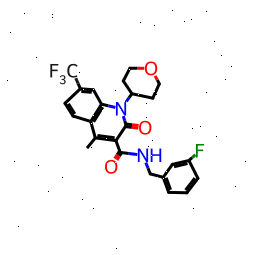 Cc1c(C(=O)NCc2cccc(F)c2)c(=O)n(C2CCOCC2)c2cc(C(F)(F)F)ccc12